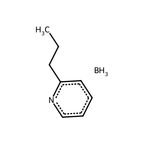 B.CCCc1ccccn1